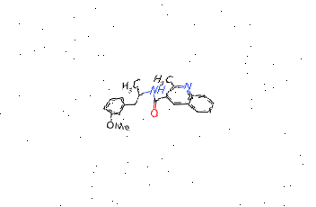 COc1cccc(CC(C)NC(=O)c2cc3ccccc3nc2C)c1